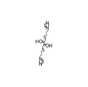 O[C@H](CSCCCn1ccnc1)[C@@H](O)CSCCCn1ccnc1